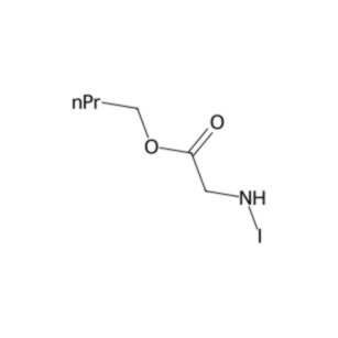 CCCCOC(=O)CNI